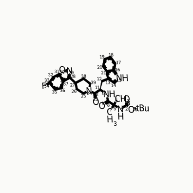 CC(C)(C)OC(=O)NC(C)(C)C(=O)N[C@H](Cc1c[nH]c2ccccc12)C(=O)N1CCC(c2noc3cc(F)ccc23)CC1